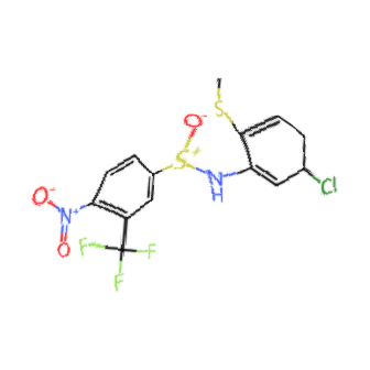 CSC1=CCC(Cl)C=C1N[S+]([O-])c1ccc([N+](=O)[O-])c(C(F)(F)F)c1